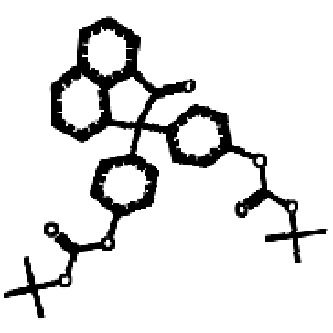 CC(C)(C)OC(=O)Oc1ccc(C2(c3ccc(OC(=O)OC(C)(C)C)cc3)C(=O)c3cccc4cccc2c34)cc1